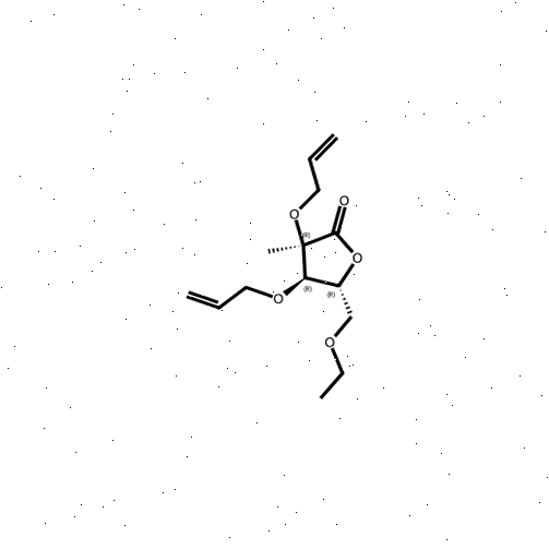 C=CCO[C@@H]1[C@@H](COCC)OC(=O)[C@]1(C)OCC=C